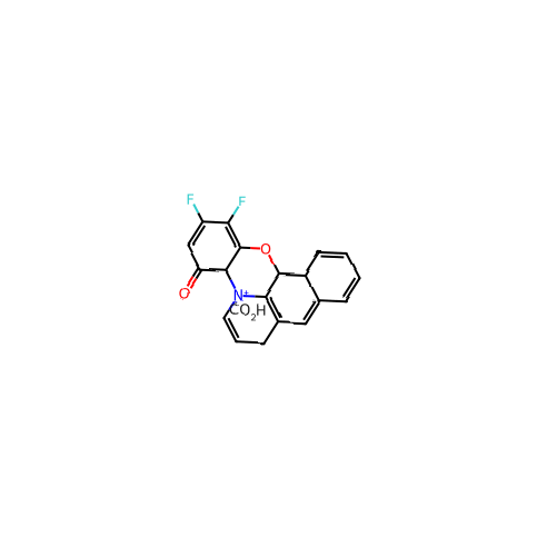 O=C1C=C(F)C(F)=C2OC3C4=C(C=C5C=CC=CC53)CC=C[N+]4(C(=O)O)C12